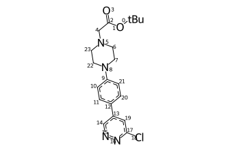 CC(C)(C)OC(=O)CN1CCN(c2ccc(-c3cnnc(Cl)c3)cc2)CC1